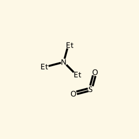 CCN(CC)CC.O=S=O